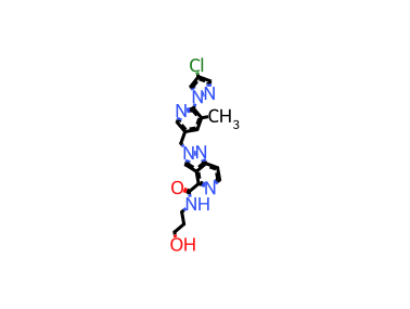 Cc1cc(Cn2cc3c(C(=O)NCCCO)nccc3n2)cnc1-n1cc(Cl)cn1